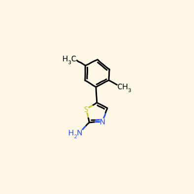 Cc1ccc(C)c(-c2cnc(N)s2)c1